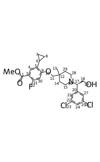 COC(=O)c1cc(C2CC2)c(OCC2(C)CCN([C@@H](CO)c3cc(Cl)cc(Cl)c3)CC2)cc1F